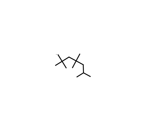 [CH2]C(C)(C)CC(C)(C)CC(C)C